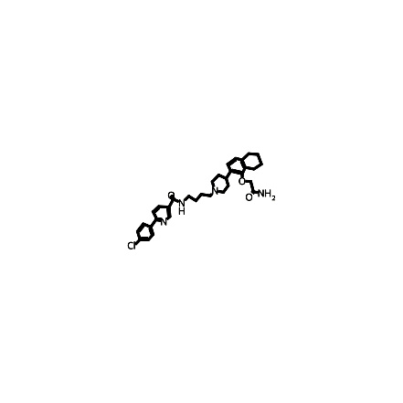 NC(=O)COc1c(C2CCN(CCCCNC(=O)c3ccc(-c4ccc(Cl)cc4)nc3)CC2)ccc2c1CCCC2